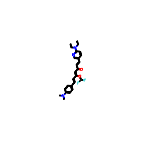 CCN(CC)c1ccc(/C=C/C(=O)/C=C(/C=C/c2ccc(N(C)C)cc2)OB(F)F)cn1